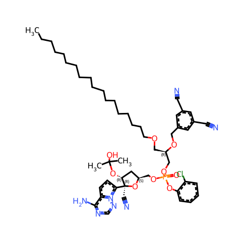 CCCCCCCCCCCCCCCCCCOC[C@H](COP(=O)(OC[C@@H]1C[C@@H](OC(C)(C)O)[C@](C#N)(c2ccc3c(N)ncnn23)O1)Oc1ccccc1Cl)OCc1cc(C#N)cc(C#N)c1